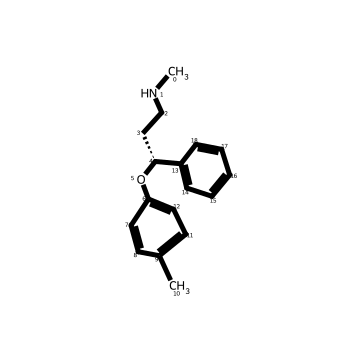 CNCC[C@@H](Oc1ccc(C)cc1)c1ccccc1